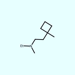 CCN(C)CCC1(C)CCC1